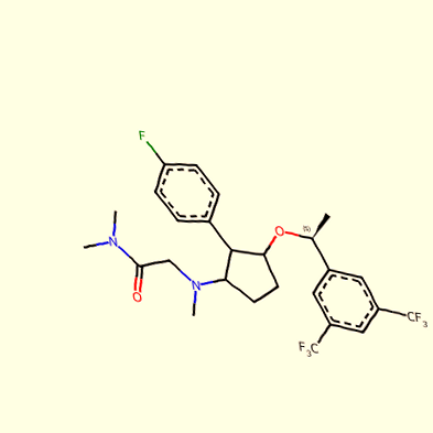 C[C@H](OC1CCC(N(C)CC(=O)N(C)C)C1c1ccc(F)cc1)c1cc(C(F)(F)F)cc(C(F)(F)F)c1